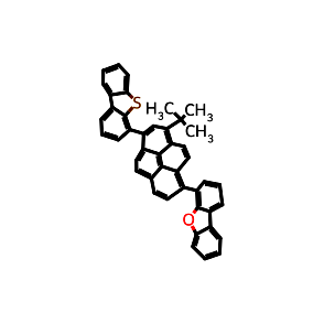 CC(C)(C)c1cc(-c2cccc3c2sc2ccccc23)c2ccc3ccc(-c4cccc5c4oc4ccccc45)c4ccc1c2c34